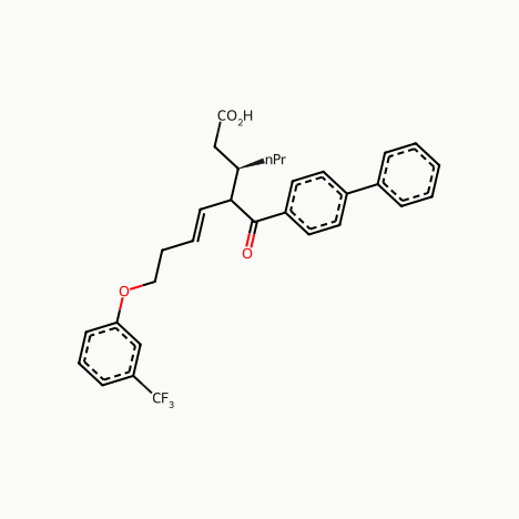 CCC[C@H](CC(=O)O)C(/C=C/CCOc1cccc(C(F)(F)F)c1)C(=O)c1ccc(-c2ccccc2)cc1